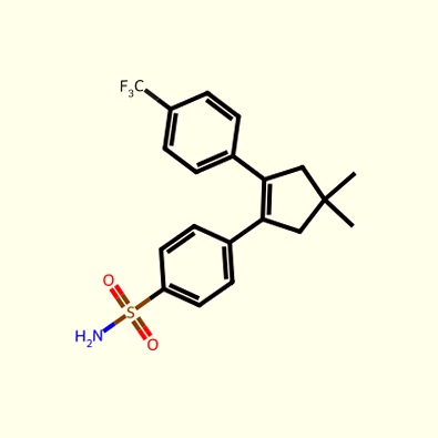 CC1(C)CC(c2ccc(C(F)(F)F)cc2)=C(c2ccc(S(N)(=O)=O)cc2)C1